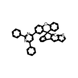 c1ccc(-c2cc(-c3ccc4c(c3)C3(c5ccccc5O4)c4ccccc4-c4cc5ccsc5cc43)nc(-c3ccccc3)n2)cc1